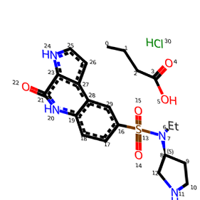 CCCC(=O)O.CCN([C@H]1CCNC1)S(=O)(=O)c1ccc2[nH]c(=O)c3[nH]ccc3c2c1.Cl